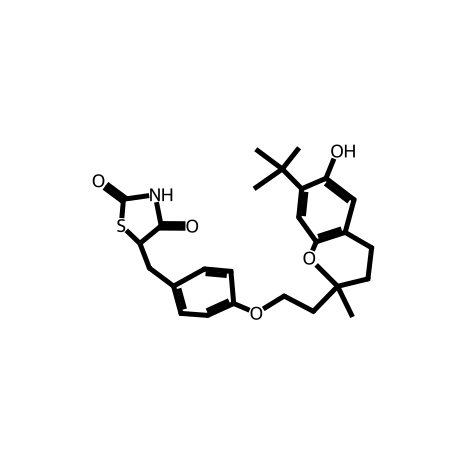 CC1(CCOc2ccc(CC3SC(=O)NC3=O)cc2)CCc2cc(O)c(C(C)(C)C)cc2O1